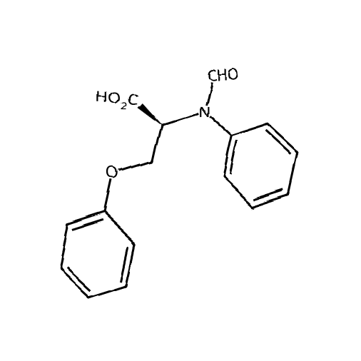 O=CN(c1ccccc1)[C@@H](COc1ccccc1)C(=O)O